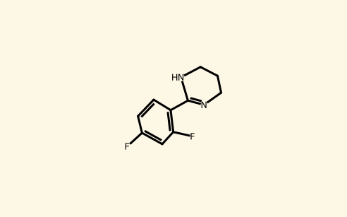 Fc1ccc(C2=NCCCN2)c(F)c1